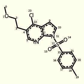 COCCc1cnc2c(ccn2S(=O)(=O)c2ccc(C)cc2)c1Cl